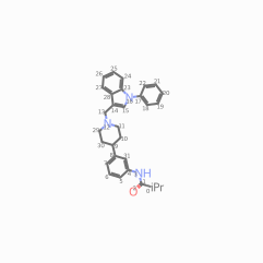 CC(C)C(=O)Nc1cccc(C2CCN(Cc3cn(-c4ccccc4)c4ccccc34)CC2)c1